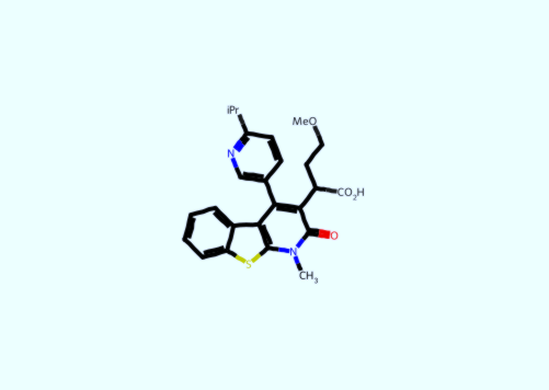 COCCC(C(=O)O)c1c(-c2ccc(C(C)C)nc2)c2c3ccccc3sc2n(C)c1=O